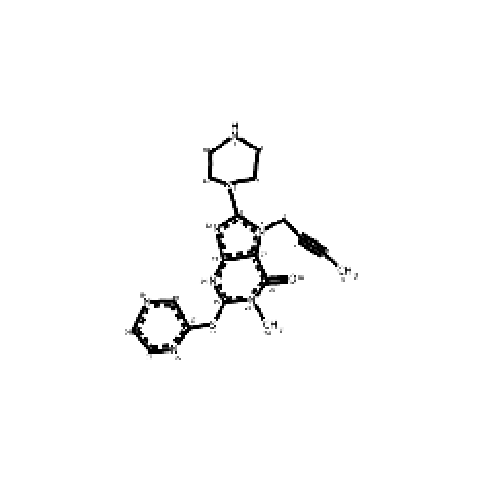 CC#CCn1c(N2CCNCC2)nc2nc(Sc3cnccn3)n(C)c(=O)c21